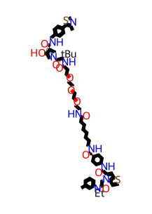 CCN(C(=O)Cn1c(C(=O)N[C@H]2CC[C@H](C(=O)NCCCCCCCC(=O)NCCOCCOCCOCCC(=O)N[C@@H](C(=O)N3C[C@@H](O)[C@H](C(=O)NCc4ccc(-c5scnc5C)cc4)C3)C(C)(C)C)CC2)cc2sccc21)c1cccc(C)c1